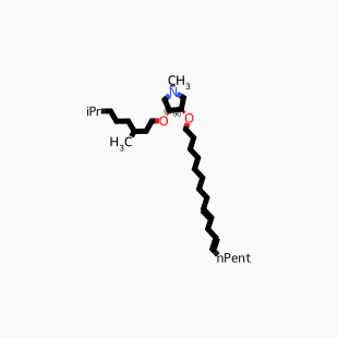 CCCCCC=CCC=CCCCCCCCCO[C@@H]1CN(C)C[C@H]1OCCC(C)CCCC(C)C